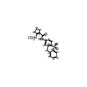 O=C(O)C1=C(C(=O)Nc2ccc3c(c2)Cc2ccccc2S3(=O)=O)CCC1